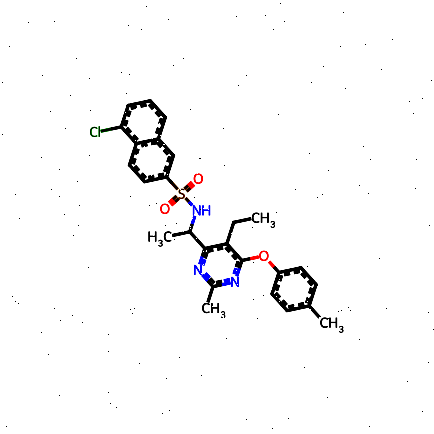 CCc1c(Oc2ccc(C)cc2)nc(C)nc1C(C)NS(=O)(=O)c1ccc2c(Cl)cccc2c1